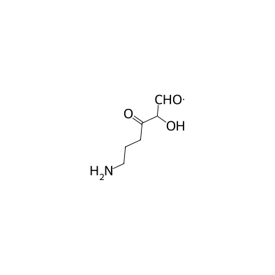 NCCCC(=O)C(O)[C]=O